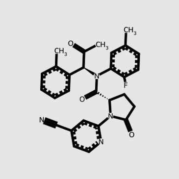 CC(=O)[C@H](c1ccccc1C)N(C(=O)[C@@H]1CCC(=O)N1c1cc(C#N)ccn1)c1cc(C)ccc1F